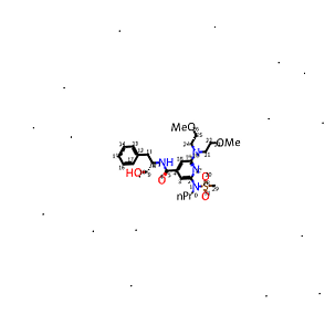 CCCN(c1cc(C(=O)N[C@H](CO)Cc2ccccc2)cc(N(CCOC)CCOC)n1)S(C)(=O)=O